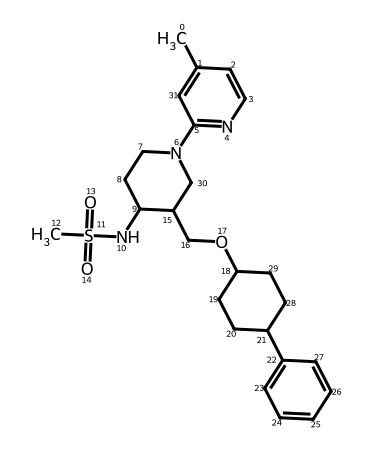 Cc1ccnc(N2CCC(NS(C)(=O)=O)C(COC3CCC(c4ccccc4)CC3)C2)c1